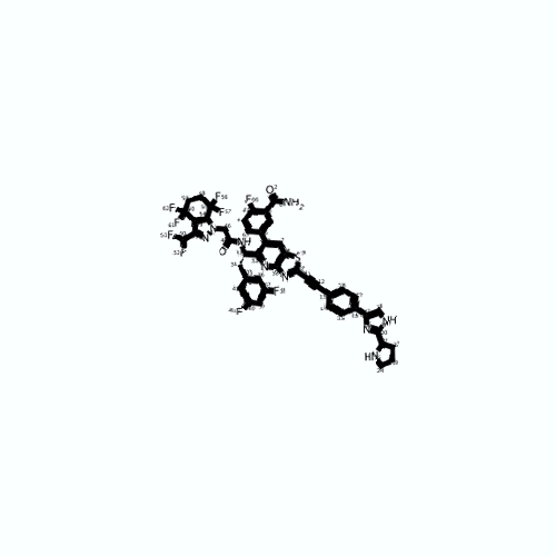 NC(=O)c1cc(-c2cc3sc(C#Cc4ccc(-c5c[nH]c(C6CCCN6)n5)cc4)nc3nc2[C@H](Cc2cc(F)cc(F)c2)NC(=O)Cn2nc(C(F)F)c3c2C(F)(F)CCC3(F)F)ccc1F